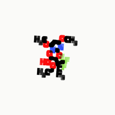 CCOC(C)(C(Oc1nc(OC)cc(OC)n1)C(=O)O)C(F)(F)F